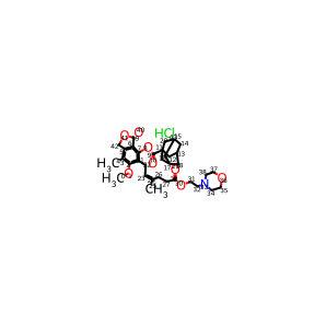 COc1c(C)c2c(c(OC(=O)C34CC5CC(CC(C5)C3)C4)c1CC=C(C)CCC(=O)OCCN1CCOCC1)C(=O)OC2.Cl